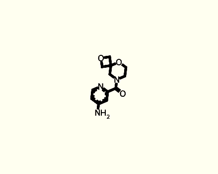 Nc1ccnc(C(=O)N2CCOC3(COC3)C2)c1